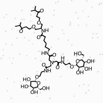 CC(C)C(=O)CCOCC(COCCC(=O)C(C)C)NC(=O)CCCCCNC(=O)CN(CC(=O)NCCO[C@@H]1O[C@H](CO)[C@@H](O)[C@H](O)[C@H]1O)CC(=O)NCCO[C@@H]1O[C@H](CO)[C@@H](O)[C@H](O)[C@H]1O